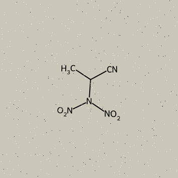 CC(C#N)N([N+](=O)[O-])[N+](=O)[O-]